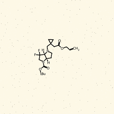 C=CCOC(=O)CC1(CN2CC[C@H]3[C@@H]2C(F)(F)CN3C(=O)OC(C)(C)C)CC1